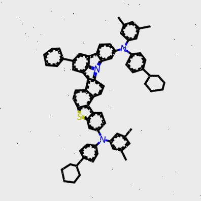 Cc1cc(C)cc(N(c2ccc(C3CCCCC3)cc2)c2ccc3c(c2)sc2ccc4c(ccc5c4c4cc(-c6ccccc6)cc6c7ccc(N(c8ccc(C9CCCCC9)cc8)c8cc(C)cc(C)c8)cc7n5c64)c23)c1